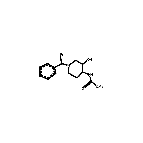 COC(=O)NC1CCN(C(c2ccccc2)C(C)C)CC1O